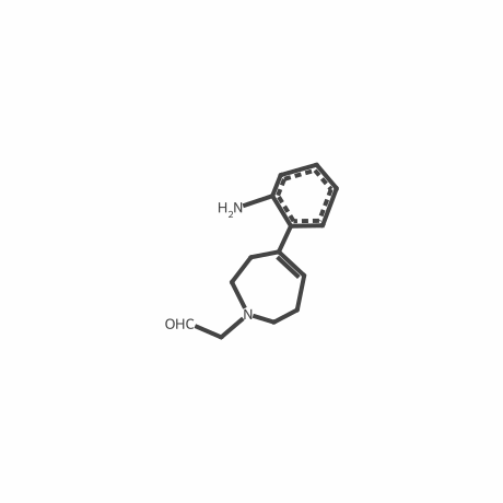 Nc1ccccc1C1=CCCN(CC=O)CC1